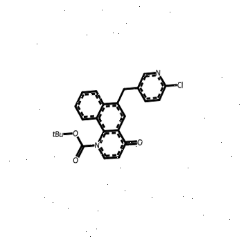 CC(C)(C)OC(=O)n1ccc(=O)c2cc(Cc3ccc(Cl)nc3)c3ccccc3c21